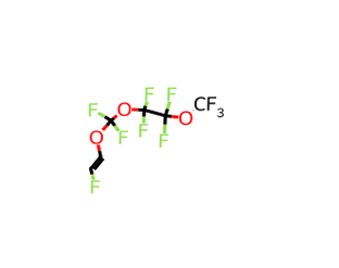 FC=COC(F)(F)OC(F)(F)C(F)(F)OC(F)(F)F